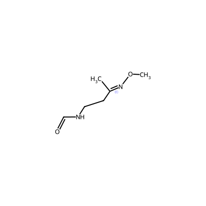 CO/N=C(\C)CCNC=O